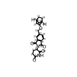 O=C1CCC(N2C(=O)c3ccc(COC4C[C@H]5CC[C@@H]4C5)cc3C2=O)C(=O)N1